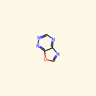 [c]1nc2ncnnc2o1